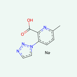 Cc1ccc(-n2ccnn2)c(C(=O)O)n1.[Na]